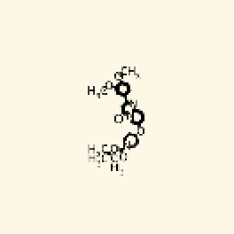 COc1ccc(-c2cc(=O)n3cc(OC4CCN(C(=O)OC(C)(C)C)CC4)ccc3n2)cc1OC